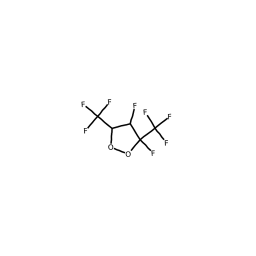 FC1C(C(F)(F)F)OOC1(F)C(F)(F)F